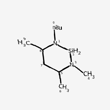 CCCCN1[SiH2]N(C)C(C)CC1C